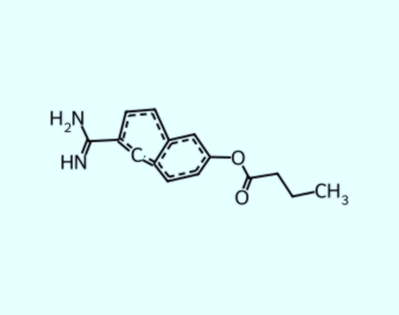 CCCC(=O)Oc1ccc2cc(C(=N)N)ccc2c1